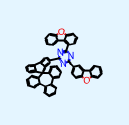 c1ccc2c(c1)-c1ccccc1C1(c3ccccc3-2)c2ccccc2-c2ccc(-c3nc(-c4ccc5oc6ccccc6c5c4)nc(-c4cccc5oc6ccccc6c45)n3)cc21